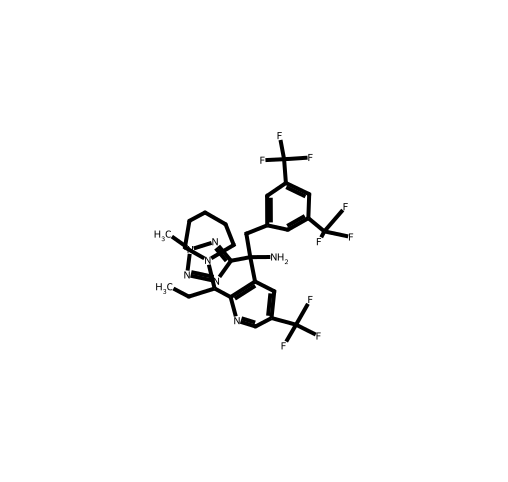 CCC(c1ncc(C(F)(F)F)cc1C(N)(Cc1cc(C(F)(F)F)cc(C(F)(F)F)c1)c1nnn(C)n1)N1CCCCC1